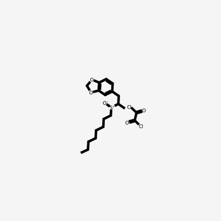 CCCCCCCC[S+]([O-])C(C)Cc1ccc2c(c1)OCO2.O=C(Cl)C(=O)Cl